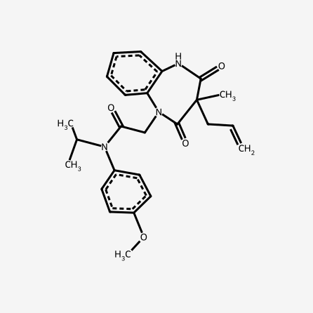 C=CCC1(C)C(=O)Nc2ccccc2N(CC(=O)N(c2ccc(OC)cc2)C(C)C)C1=O